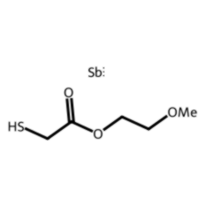 COCCOC(=O)CS.[Sb]